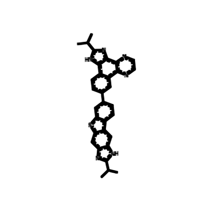 CC(C)c1nc2cc3sc4cc(-c5ccc6c(c5)c5nccnc5c5nc(C(C)C)[nH]c65)ccc4c3cc2[nH]1